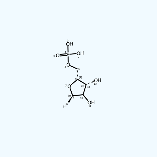 O=P(O)(O)OC[C@H]1O[C@H](F)C(O)[C@H]1O